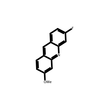 COc1ccc2cc3ccc(F)cc3nc2c1